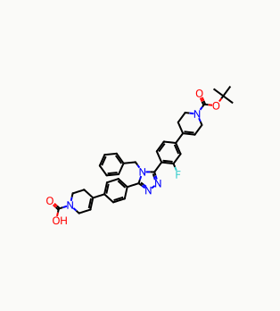 CC(C)(C)OC(=O)N1CC=C(c2ccc(-c3nnc(-c4ccc(C5=CCN(C(=O)O)CC5)cc4)n3Cc3ccccc3)c(F)c2)CC1